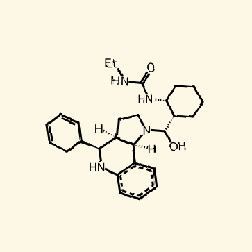 CCNC(=O)N[C@@H]1CCCC[C@@H]1C(O)N1CC[C@@H]2[C@H](C3C=CC=CC3)Nc3ccccc3[C@@H]21